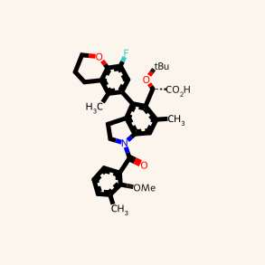 COc1c(C)cccc1C(=O)N1CCc2c1cc(C)c([C@H](OC(C)(C)C)C(=O)O)c2-c1cc(F)c2c(c1C)CCCO2